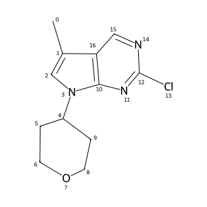 Cc1cn(C2CCOCC2)c2nc(Cl)ncc12